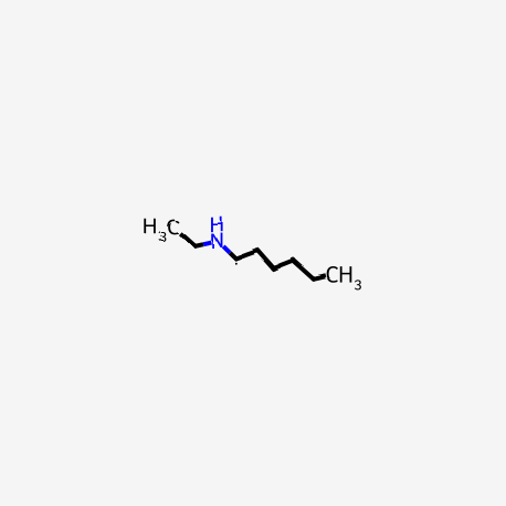 CCCCC[CH]NCC